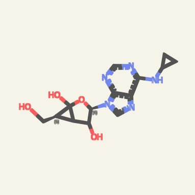 OC[C@@H]1C2C(O)[C@H](n3cnc4c(NC5CC5)ncnc43)OC21O